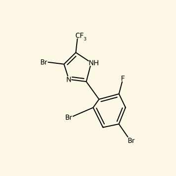 Fc1cc(Br)cc(Br)c1-c1nc(Br)c(C(F)(F)F)[nH]1